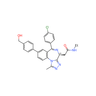 CCNC(=O)C[C@@H]1N=C(c2ccc(Cl)cc2)c2cc(-c3ccc(CO)cc3)ccc2-n2c(C)nnc21